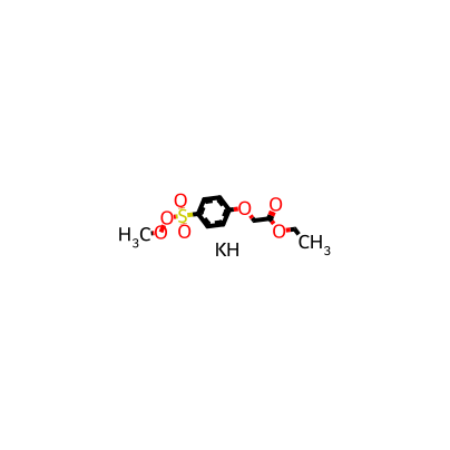 CCOC(=O)COc1ccc(S(=O)(=O)OOC)cc1.[KH]